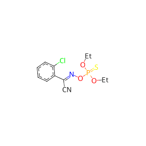 CCOP(=S)(OCC)ON=C(C#N)c1ccccc1Cl